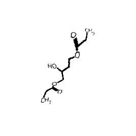 CCC(=O)OCCC(O)COC(=O)CC